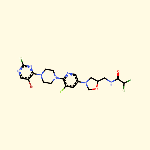 O=C(NCC1CN(c2cnc(N3CCN(c4nc(Cl)ncc4Br)CC3)c(F)c2)CO1)C(Cl)Cl